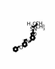 CC(C)(C)c1csc(-c2cc3cc(Cn4c[c]c5cc(OCc6ccccc6)ccc54)ccc3o2)n1